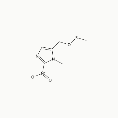 CSOCc1cnc([N+](=O)[O-])n1C